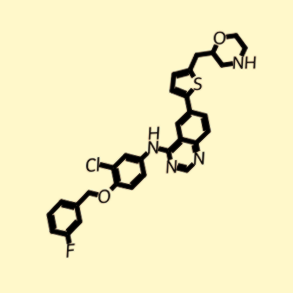 Fc1cccc(COc2ccc(Nc3ncnc4ccc(-c5ccc(CC6CNCCO6)s5)cc34)cc2Cl)c1